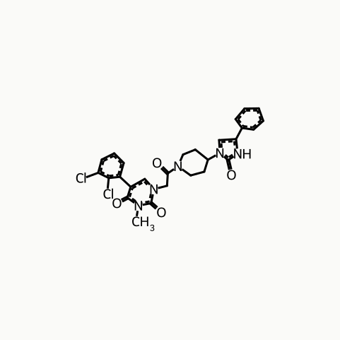 Cn1c(=O)c(-c2cccc(Cl)c2Cl)cn(CC(=O)N2CCC(n3cc(-c4ccccc4)[nH]c3=O)CC2)c1=O